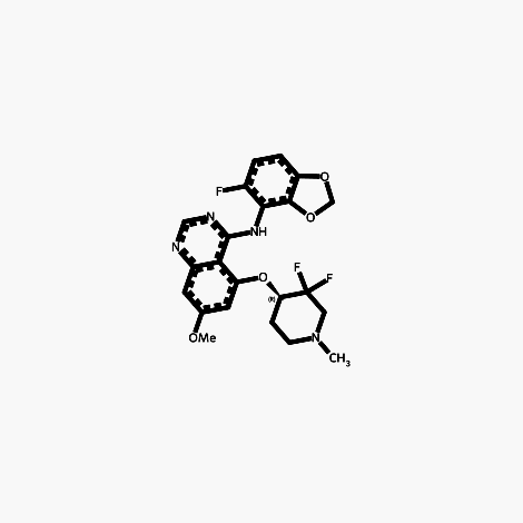 COc1cc(O[C@@H]2CCN(C)CC2(F)F)c2c(Nc3c(F)ccc4c3OCO4)ncnc2c1